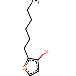 CCCCCCc1sccc1O